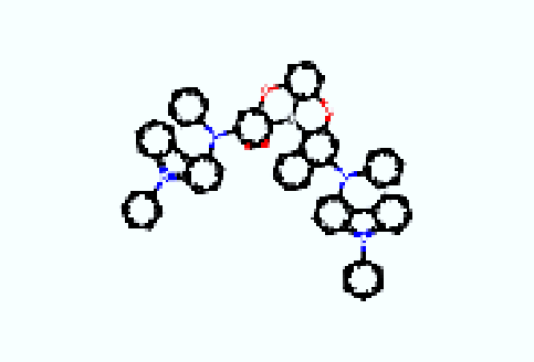 c1ccc(N(c2cc3c(c4ccccc24)B2c4c(cccc4Oc4cc(N(c5ccccc5)c5cccc6c5c5ccccc5n6-c5ccccc5)c5ccccc5c42)O3)c2cccc3c2c2ccccc2n3-c2ccccc2)cc1